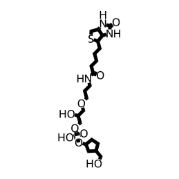 O=C(CCCCC1SCC2NC(=O)NC21)NCCCOCC(O)COP(=O)(O)OC1CCC(CO)C1